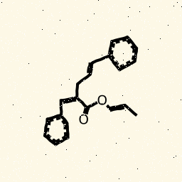 CC=COC(=O)C(=Cc1ccccc1)CC=Cc1ccccc1